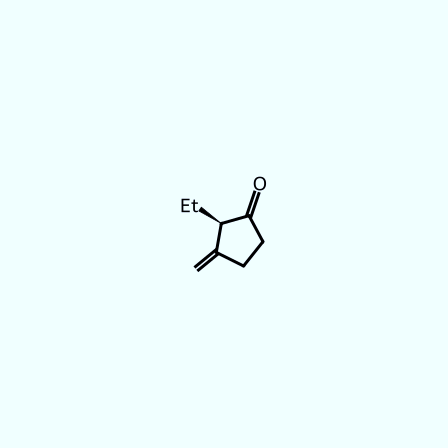 C=C1CCC(=O)[C@@H]1CC